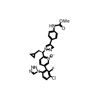 COC(=O)Nc1ccc(-c2cnn([C@H](CC3CC3)c3ccc(-c4c(-n5cnnn5)ccc(Cl)c4F)c[n+]3[O-])c2)cc1